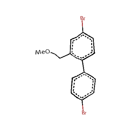 COCc1cc(Br)ccc1-c1ccc(Br)cc1